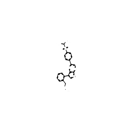 COCc1ccccc1-c1c[nH]c2ncc(-c3ccc(S(=O)(=O)C(C)C)cc3)nc12